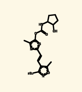 CCCCc1noc(C)c1/C=C/c1nc(C)c(OC(=O)NC2CCCC2O)s1